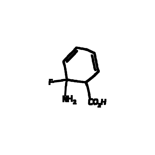 NC1(F)C=CC=CC1C(=O)O